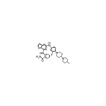 CC1CCN(C2CCN(c3ccc(Nc4nc(NC5C6C=CC(C6)C5C(N)=O)c5sccc5n4)cc3F)CC2)CC1